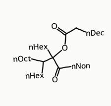 CCCCCCCCCCCC(=O)OC(CCCCCC)(C(=O)CCCCCCCCC)C(CCCCCC)CCCCCCCC